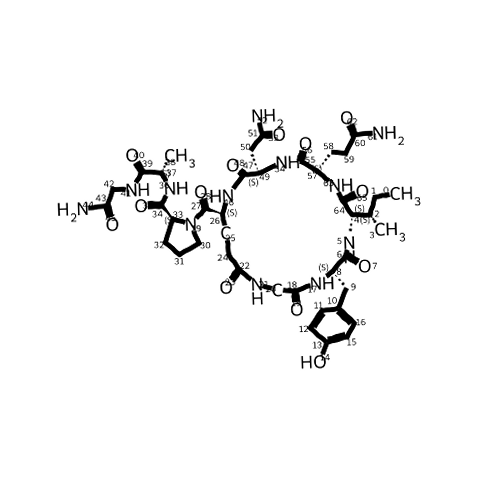 CC[C@H](C)[C@@H]1NC(=O)[C@H](Cc2ccc(O)cc2)NC(=O)CNC(=O)CC[C@@H](C(=O)N2CCC[C@H]2C(=O)N[C@@H](C)C(=O)NCC(N)=O)NC(=O)[C@H](CC(N)=O)NC(=O)[C@H](CCC(N)=O)NC1=O